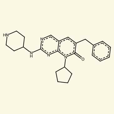 O=c1c(Cc2ccccc2)cc2cnc(NC3CCNCC3)nc2n1C1CCCC1